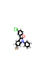 Clc1ccc2oc3c(c2c1)c1ccc(Br)cc1n3-c1ccccc1